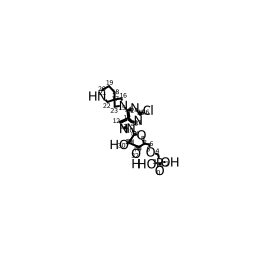 O=P(O)(O)COCC1O[C@@H](n2ncc3c(N4CC5(CCCNC5)C4)nc(Cl)nc32)[C@H](O)[C@@H]1O